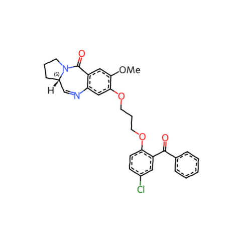 COc1cc2c(cc1OCCCOc1ccc(Cl)cc1C(=O)c1ccccc1)N=C[C@@H]1CCCN1C2=O